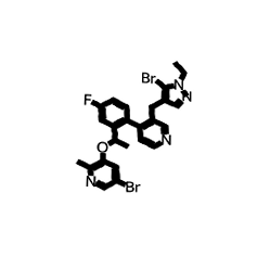 CCn1ncc(Cc2cnccc2-c2ccc(F)cc2C(C)Oc2cc(Br)cnc2C)c1Br